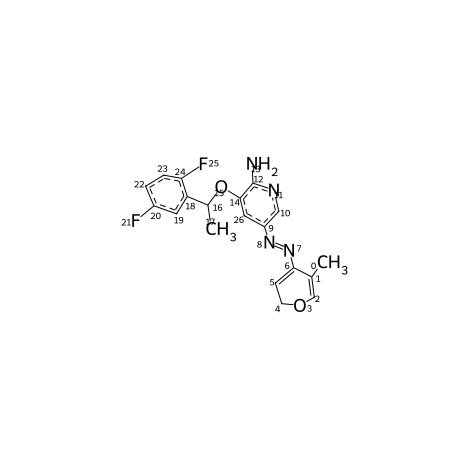 CC1=COCC=C1N=Nc1cnc(N)c(OC(C)c2cc(F)ccc2F)c1